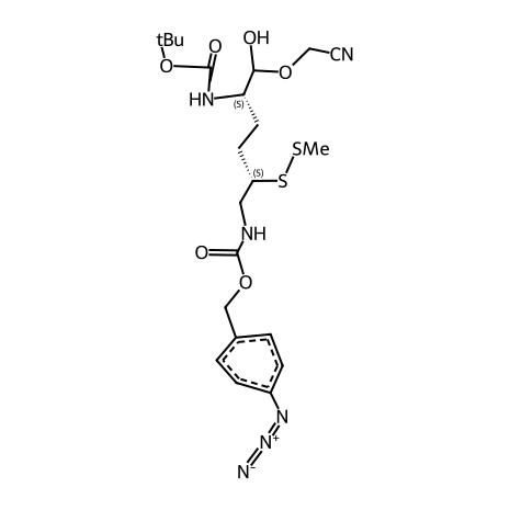 CSS[C@@H](CC[C@H](NC(=O)OC(C)(C)C)C(O)OCC#N)CNC(=O)OCc1ccc(N=[N+]=[N-])cc1